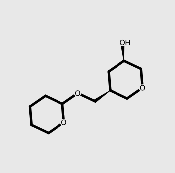 O[C@H]1COC[C@@H](COC2CCCCO2)C1